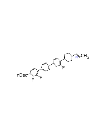 C/C=C/C1CCC(c2ccc(-c3ccc(-c4ccc(CCCCCCCCCC)c(F)c4F)cc3)cc2F)CC1